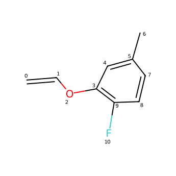 C=COc1cc(C)ccc1F